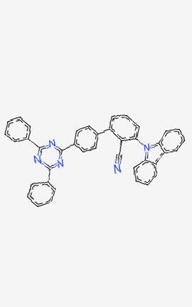 N#Cc1c(-c2ccc(-c3nc(-c4ccccc4)nc(-c4ccccc4)n3)cc2)cccc1-n1c2ccccc2c2ccccc21